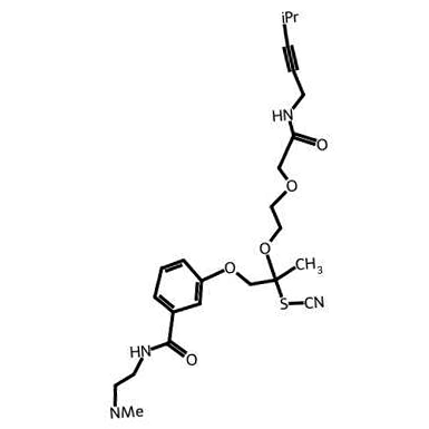 CNCCNC(=O)c1cccc(OCC(C)(OCCOCC(=O)NCC#CC(C)C)SC#N)c1